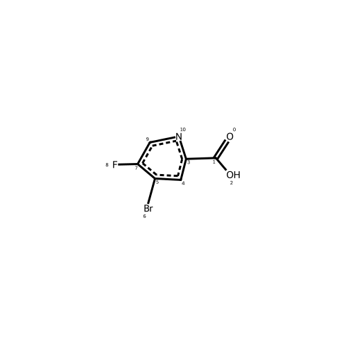 O=C(O)c1cc(Br)c(F)cn1